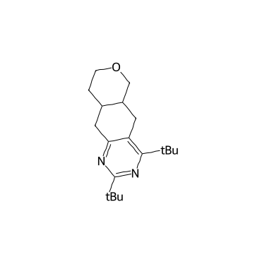 CC(C)(C)c1nc2c(c(C(C)(C)C)n1)CC1COCCC1C2